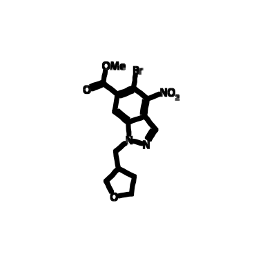 COC(=O)c1cc2c(cnn2CC2CCOC2)c([N+](=O)[O-])c1Br